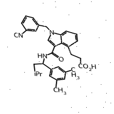 [C-]#[N+]c1cccc(Cn2cc(C(=O)NC(CC(C)C)c3cc(C)cc(C)c3)c3c(CCC(=O)O)cccc32)c1